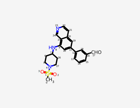 CS(=O)(=O)N1CCC(Nc2cc(-c3cccc(C=O)c3)cc3ccncc23)CC1